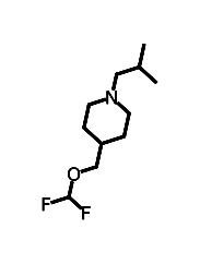 CC(C)CN1CCC(COC(F)F)CC1